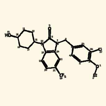 CCOc1ccc(Cn2c(=O)n(C3CCC(O)CC3)c3ccc(C(F)(F)F)cc32)cc1Cl